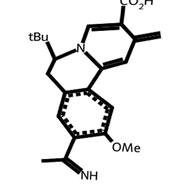 C=C1C=C2c3cc(OC)c(C(C)=N)cc3CC(C(C)(C)C)N2C=C1C(=O)O